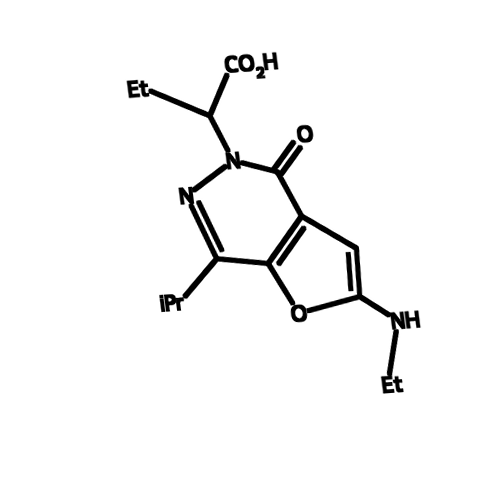 CCNc1cc2c(=O)n(C(CC)C(=O)O)nc(C(C)C)c2o1